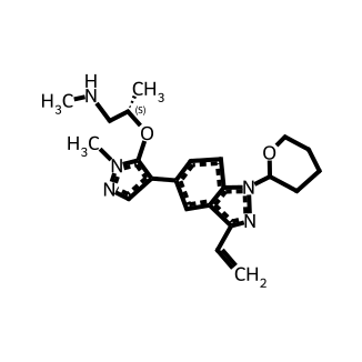 C=Cc1nn(C2CCCCO2)c2ccc(-c3cnn(C)c3O[C@@H](C)CNC)cc12